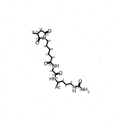 CC(=O)C(CCCNC(N)=O)NC(=O)CNC(=O)CCCCCN1C(=O)CC(C)C1=O